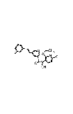 CCN1c2ncc(C=Cc3cccc(F)c3)cc2C(=O)N(C)c2ccc(Cl)nc21